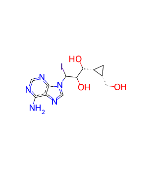 Nc1ncnc2c1ncn2C(I)C(O)C(O)[C@@H]1C[C@@H]1CO